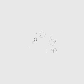 NC(=O)c1ccc(Oc2ccc3c(c2)CN(C2CCCCC2)CC3)nc1